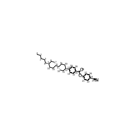 CCCCC[C@H]1CC[C@H]([C@H]2CC[C@H](c3ccc(C(=O)Oc4ccc(C#N)cc4)cc3)CC2)CC1